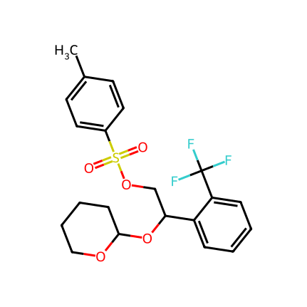 Cc1ccc(S(=O)(=O)OCC(OC2CCCCO2)c2ccccc2C(F)(F)F)cc1